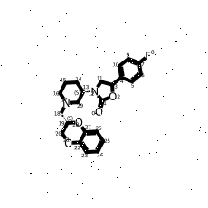 O=C1OC(c2ccc(F)cc2)CN1[C@H]1CCCN(C[C@H]2COc3ccccc3O2)C1